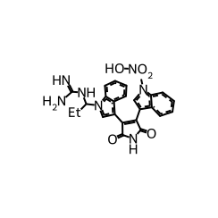 CCC(NC(=N)N)n1cc(C2=C(c3cn(C)c4ccccc34)C(=O)NC2=O)c2ccccc21.O=[N+]([O-])O